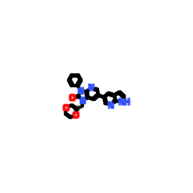 O=c1n(C[C@H]2COCCO2)c2cc(-c3cnc4[nH]ccc4c3)cnc2n1-c1ccccc1